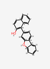 Oc1ccc2ccccc2c1-c1ccc2c(c1)oc1ccccc12